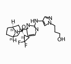 O=C([C@@H]1CC1(F)F)N1[C@@H]2CC[C@H]1CN(c1ccnc(Nc3cnn(CCCO)c3)n1)C2